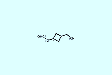 N#CCC1CC(OC=O)C1